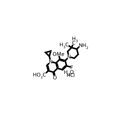 COc1c(N2CCC(N)C(C)(C)C2)c(F)cc2c(=O)c(C(=O)O)cn(C3CC3)c12.Cl.O